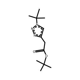 CC(C)(C)OC(=O)Cc1cn(C(C)(C)C)nn1